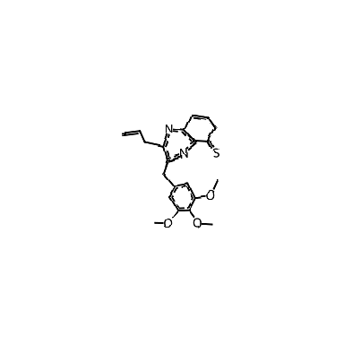 C=CCc1nc2c(nc1Cc1cc(OC)c(OC)c(OC)c1)C(=S)CC=C2